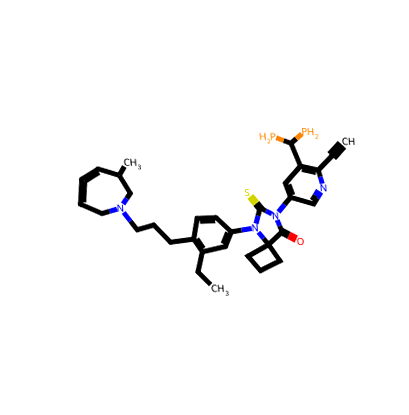 C#Cc1ncc(N2C(=O)C3(CCC3)N(c3ccc(CCCN4CC=C=CC(C)C4)c(CC)c3)C2=S)cc1C(P)P